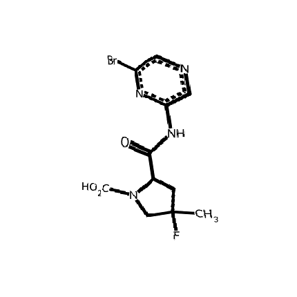 CC1(F)CC(C(=O)Nc2cncc(Br)n2)N(C(=O)O)C1